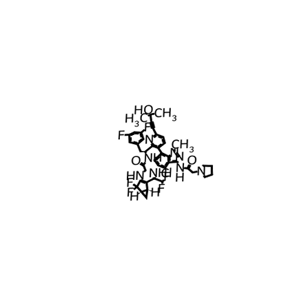 Cn1nc(NC(=O)CN2CCCC2)c2c(Cl)ccc(-c3ccc(C#CC(C)(C)O)nc3[C@H](Cc3cc(F)cc(F)c3)NC(=O)CNC3=C(C(=N)C(F)F)[C@H]4C[C@H]4C3(F)F)c21